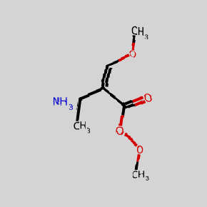 CCC(=COC)C(=O)OOC.N